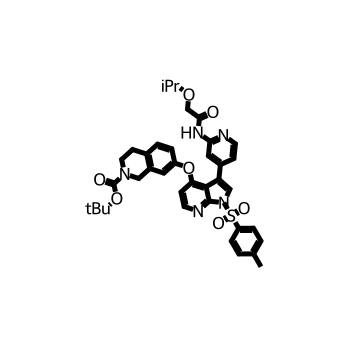 Cc1ccc(S(=O)(=O)n2cc(-c3ccnc(NC(=O)COC(C)C)c3)c3c(Oc4ccc5c(c4)CN(C(=O)OC(C)(C)C)CC5)ccnc32)cc1